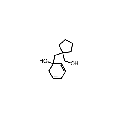 OCC1(CC2(O)C=CC=CC2)CCCC1